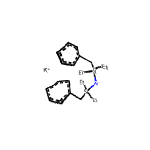 CC[Si](CC)(Cc1ccccc1)[N-][Si](CC)(CC)Cc1ccccc1.[K+]